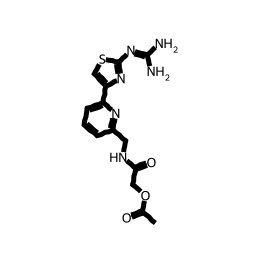 CC(=O)OCC(=O)NCc1cccc(-c2csc(N=C(N)N)n2)n1